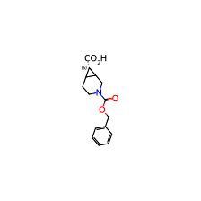 O=C(O)[C@H]1C2CCN(C(=O)OCc3ccccc3)CC21